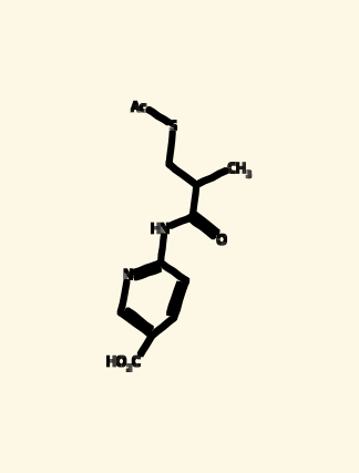 CC(=O)SCC(C)C(=O)Nc1ccc(C(=O)O)cn1